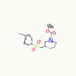 Cc1ccc(S(=O)(=O)CC2CCCN(C(=O)OC(C)(C)C)C2)cc1